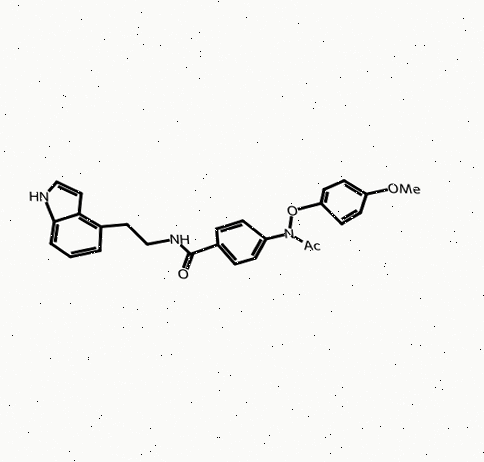 COc1ccc(ON(C(C)=O)c2ccc(C(=O)NCCc3cccc4[nH]ccc34)cc2)cc1